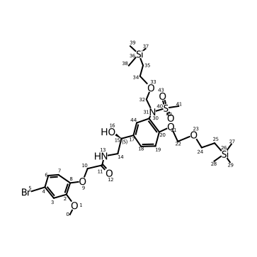 COc1cc(Br)ccc1OCC(=O)NC[C@@H](O)c1ccc(OCOCC[Si](C)(C)C)c(N(COCC[Si](C)(C)C)S(C)(=O)=O)c1